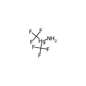 [NH2][Hg]([C](F)(F)F)[C](F)(F)F